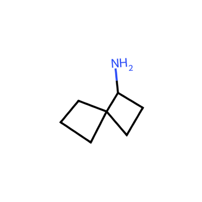 NC1CCC12CCC2